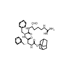 N=C(N)NCCC[C@@H](C=O)NC(=O)[C@H](Cc1ccccc1)NC(=O)[C@@H](Cc1ccccc1)NC(=O)OC12CC3CC(CC(C3)C1)C2